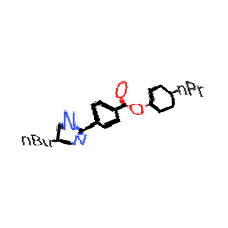 CCCCc1cnc(-c2ccc(C(=O)O[C@H]3CC[C@H](CCC)CC3)cc2)nc1